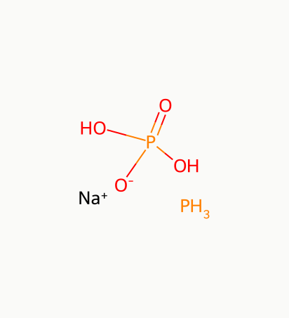 O=P([O-])(O)O.P.[Na+]